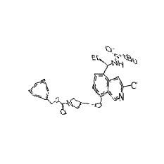 CC[C@@H](N[S+]([O-])C(C)(C)C)c1ccc(OC2CN(C(=O)OCc3ccccc3)C2)c2cnc(Cl)cc12